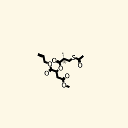 C=CCOC(=O)C(CC(=O)OC)OC(=O)[C@H](C)CSC(C)=O